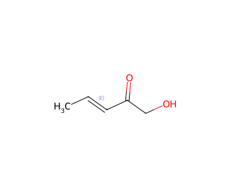 C/C=C/C(=O)CO